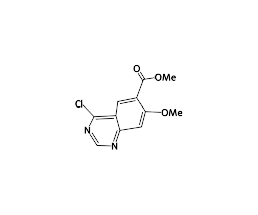 COC(=O)c1cc2c(Cl)ncnc2cc1OC